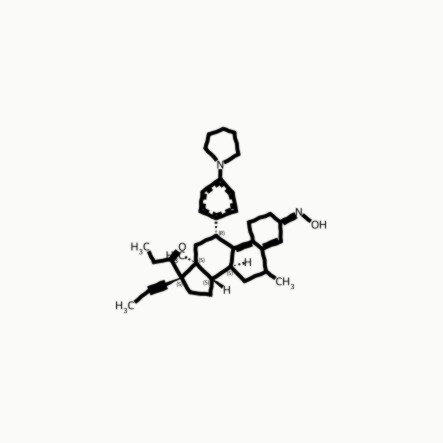 CC#C[C@]1(C(=O)CC)CC[C@H]2[C@@H]3CC(C)C4=CC(=NO)CCC4=C3[C@@H](c3ccc(N4CCCCC4)cc3)C[C@@]21C